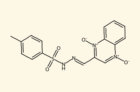 Cc1ccc(S(=O)(=O)NN=Cc2c[n+]([O-])c3ccccc3[n+]2[O-])cc1